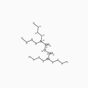 CCCCN(CCCC)[SiH2]O[SiH2]N(CCCC)CCCC